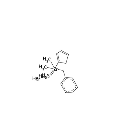 Br.Br.[CH3][Zr]([CH3])(=[SiH2])([CH2]c1ccccc1)[C]1=CC=CC1